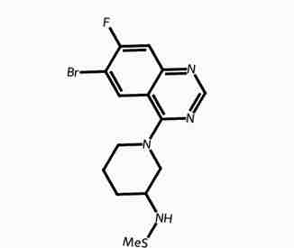 CSNC1CCCN(c2ncnc3cc(F)c(Br)cc23)C1